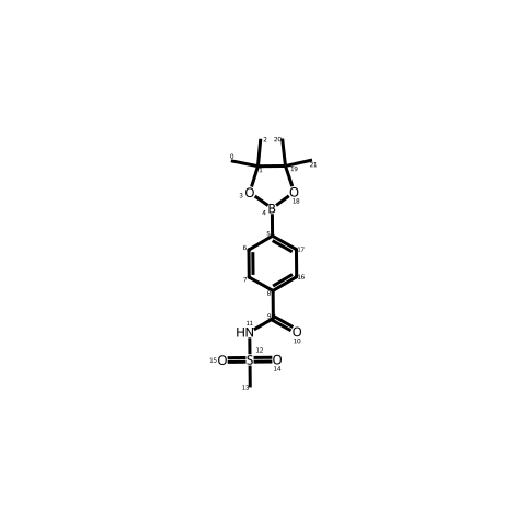 CC1(C)OB(c2ccc(C(=O)NS(C)(=O)=O)cc2)OC1(C)C